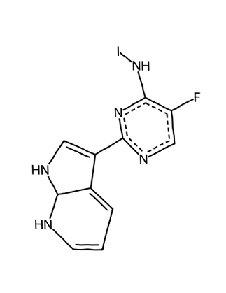 Fc1cnc(C2=CNC3NC=CC=C23)nc1NI